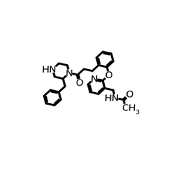 CC(=O)NCc1cccnc1Oc1ccccc1CCC(=O)N1CCNCC1Cc1ccccc1